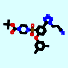 Cc1cc(C)cc(Oc2ccc(-c3nnnn3CCC#N)cc2S(=O)(=O)N2CCN(C(=O)OC(C)(C)C)CC2)c1